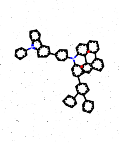 c1ccc(-c2ccc(-c3ccc(N(c4ccc(-c5ccc6c(c5)c5ccccc5n6-c5ccccc5)cc4)c4ccccc4-c4cccc5cccc(-c6ccccc6)c45)cc3)cc2-c2ccccc2)cc1